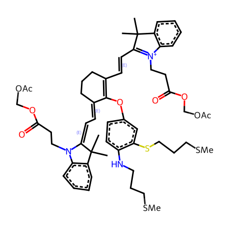 CSCCCNc1ccc(OC2=C(/C=C/C3=[N+](CCC(=O)OCOC(C)=O)c4ccccc4C3(C)C)CCC/C2=C\C=C2\N(CCC(=O)OCOC(C)=O)c3ccccc3C2(C)C)cc1SCCCSC